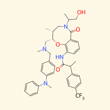 CC(C(=O)Nc1cccc2c1O[C@H](CN(C)Cc1ccc(N(C)c3ccccc3)cc1)[C@H](C)CN(C(C)CO)C2=O)c1ccc(C(F)(F)F)cc1